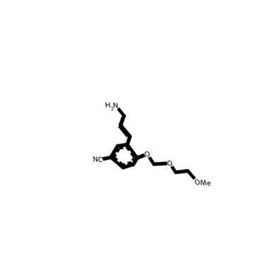 COCCOCOc1ccc(C#N)cc1/C=C/CN